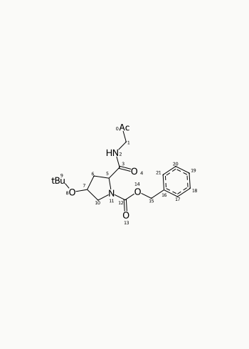 CC(=O)CNC(=O)C1CC(OC(C)(C)C)CN1C(=O)OCc1ccccc1